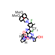 COc1ccc(CN(Cc2ccc(OC)cc2)c2cc(-c3nc4c5c(nc(N6CCC6CO)nc5c3F)N3C[C@H]5CC[C@@H]([C@H]3[C@H](C)O4)N5C(=O)OC(C)(C)C)c(C(F)(F)F)c(C)c2F)cc1